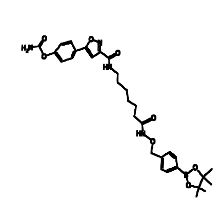 CC1(C)OB(c2ccc(CONC(=O)CCCCCCNC(=O)c3cc(-c4ccc(OC(N)=O)cc4)on3)cc2)OC1(C)C